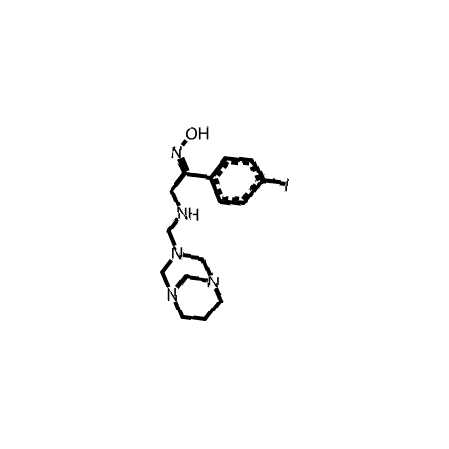 O/N=C(/CNCN1CN2CCCN(C2)C1)c1ccc(I)cc1